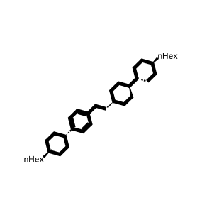 CCCCCC[C@H]1CC[C@H](c2ccc(CC[C@H]3CC[C@H]([C@H]4CC[C@H](CCCCCC)CC4)CC3)cc2)CC1